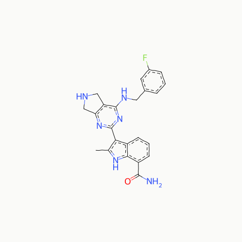 Cc1[nH]c2c(C(N)=O)cccc2c1-c1nc2c(c(NCc3cccc(F)c3)n1)CNC2